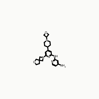 Nc1ccnc(Nc2cc(C3CCN(C4COC4)CC3)cc(N3CC4(CCOC4)C3)n2)c1